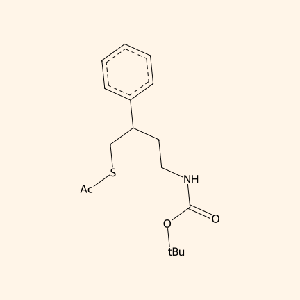 CC(=O)SCC(CCNC(=O)OC(C)(C)C)c1ccccc1